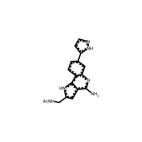 CC(=O)NCc1cc2c(N)nc3cc(-c4ccn[nH]4)ccc3c2[nH]1